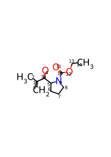 C=C(C)C(=O)C1CCCN1C(=O)OCC